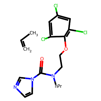 C=CC.CCCN(CCOc1c(Cl)cc(Cl)cc1Cl)C(=O)n1ccnc1